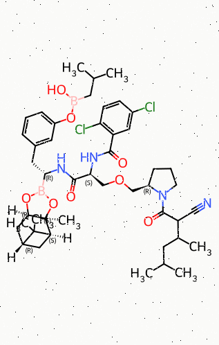 CC(C)CB(O)Oc1cccc(C[C@H](NC(=O)[C@H](COC[C@H]2CCCN2C(=O)C(C#N)C(C)CC(C)C)NC(=O)c2cc(Cl)ccc2Cl)B2O[C@@H]3C[C@H]4C[C@@H](C4(C)C)[C@]3(C)O2)c1